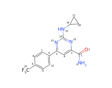 NC(=O)c1cc(-c2ccc(C(F)(F)F)cc2)nc(NC2CC2)n1